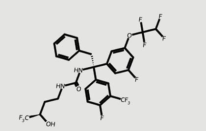 O=C(NCC[C@@H](O)C(F)(F)F)N[C@@](Cc1ccccc1)(c1cc(F)cc(OC(F)(F)C(F)F)c1)c1ccc(F)c(C(F)(F)F)c1